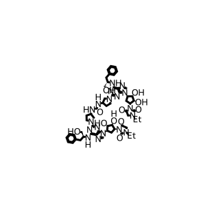 CCN1CC(=O)N([C@H]2C[C@@H](n3cnc4c(N[C@H](CO)Cc5ccccc5)nc(N5CCC(NC(=O)NC6CCN(c7nc(N[C@H](CO)Cc8ccccc8)c8ncn([C@@H]9C[C@H](N%10C(=O)CN(CC)C%10=O)[C@@H](O)[C@H]9O)c8n7)C6)C5)nc43)[C@H](O)[C@@H]2O)C1=O